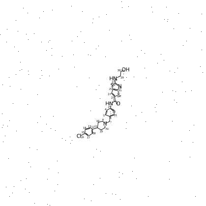 O=C(Nc1ccc(CN2CCC(c3ccc(Cl)cc3)CC2)cc1)c1cc2sc(NCCO)nc2s1